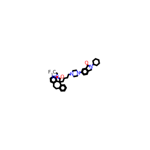 O=C1c2cc(N3CCN(CCCCC4(C(=O)NCC(F)(F)F)c5ccccc5CCc5ccccc54)CC3)ccc2CN1C1CCCCC1